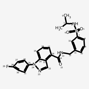 CC(C)NS(=O)(=O)c1cccc(CNC(=O)c2cccc3c2cnn3-c2ccc(F)cc2)c1